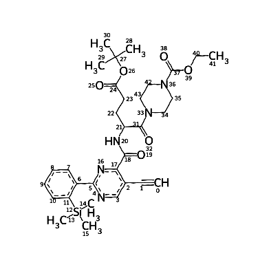 C#Cc1cnc(-c2ccccc2[Si](C)(C)C)nc1C(=O)NC(CCC(=O)OC(C)(C)C)C(=O)N1CCN(C(=O)OCC)CC1